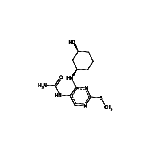 CSc1ncc(NC(N)=O)c(N[C@@H]2CCC[C@H](O)C2)n1